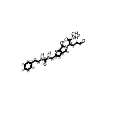 CNC(=O)C(CCC=O)N1Cc2cc(CNC(=S)NCCc3ccccc3)sc2C1=O